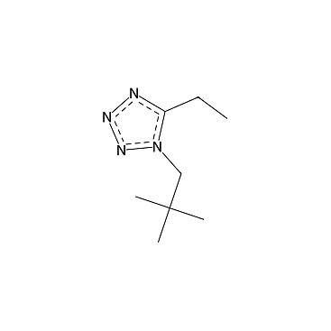 CCc1nnnn1CC(C)(C)C